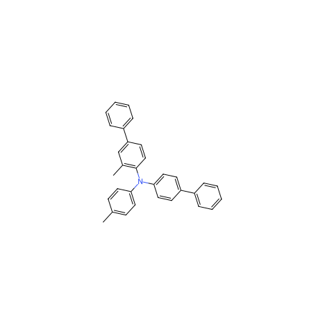 Cc1ccc(N(c2ccc(-c3ccccc3)cc2)c2ccc(-c3ccccc3)cc2C)cc1